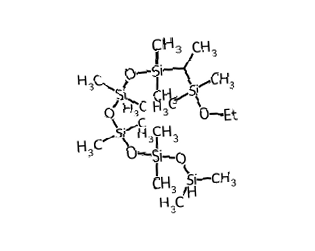 CCO[Si](C)(C)C(C)[Si](C)(C)O[Si](C)(C)O[Si](C)(C)O[Si](C)(C)O[SiH](C)C